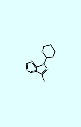 Clc1nn(C2CCCCO2)c2ncncc12